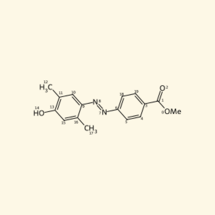 COC(=O)c1ccc(/N=N/c2cc(C)c(O)cc2C)cc1